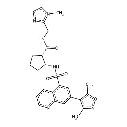 Cc1noc(C)c1-c1cc(S(=O)(=O)N[C@@H]2CCC[C@@H]2C(=O)NCc2nccn2C)c2cccnc2c1